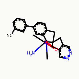 CN1C(=O)C2(N=C1N)c1cc(-c3cccc(C#N)c3)ccc1CC21Cc2cnncc2C1